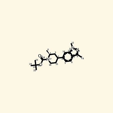 C[C@H]1CC(c2ccc3c(I)nn(C)c3c2)CCN1C(=O)OC(C)(C)C